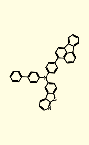 c1ccc(-c2ccc(N(c3ccc(-c4ccc5c6c(cccc46)-c4ccccc4-5)cc3)c3ccc4sc5ncccc5c4c3)cc2)cc1